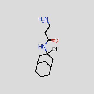 CCC1(NC(=O)CCN)CC2CCCC(C2)C1